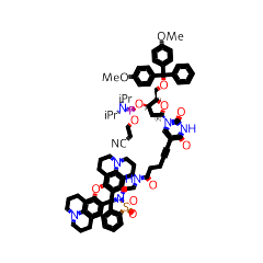 COc1ccc(C(OC[C@H]2O[C@@H](n3cc(C#CCCC(=O)NCCN4C5(c6ccccc6S4(=O)=O)c4cc6c7c(c4Oc4c5cc5c8c4CCCN8CCC5)CCCN7CCC6)c(=O)[nH]c3=O)C[C@H]2OP(OCCC#N)N(C(C)C)C(C)C)(c2ccccc2)c2ccc(OC)cc2)cc1